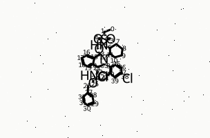 CCS(=O)(=O)N[C@H]1CCCCC1N1C(=O)c2ccccc2[C@@H](C(=O)NOCc2ccccc2)[C@@H]1c1ccc(Cl)cc1Cl